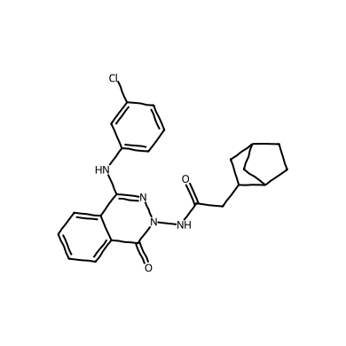 O=C(CC1CC2CCC1C2)Nn1nc(Nc2cccc(Cl)c2)c2ccccc2c1=O